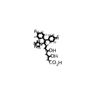 O=C(O)CC(O)CC(O)C=CC(=C(c1ccc(F)cc1)c1ccc(F)cc1)n1cnnn1